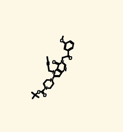 CC#CCn1c(N2CCN(C(=O)OC(C)(C)C)CC2)cc2ncn(CC(=O)c3cccc(OC)c3)c(=O)c21